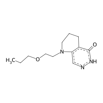 CCCOCCN1CCCc2c1cn[nH]c2=O